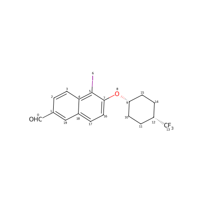 O=Cc1ccc2c(I)c(O[C@H]3CC[C@@H](C(F)(F)F)CC3)ccc2c1